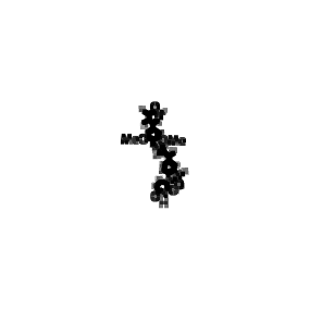 COc1cc(C2=CN(C)C(=O)C(C)C2C)cc(OC)c1CN1CC(C(C)c2ccc3c(c2)n(C)c(=O)n3C2CCC(=O)NC2=O)C1